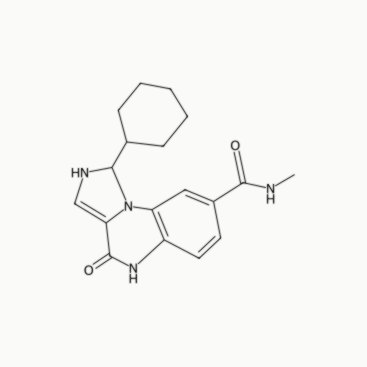 CNC(=O)c1ccc2c(c1)N1C(=CNC1C1CCCCC1)C(=O)N2